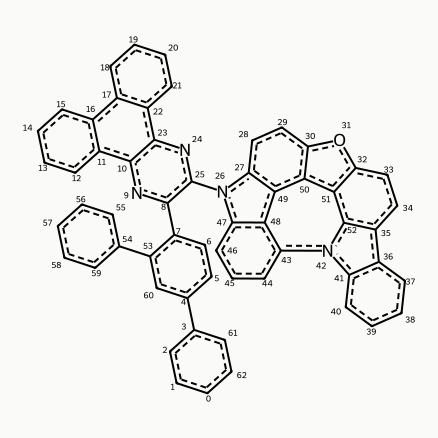 c1ccc(-c2ccc(-c3nc4c5ccccc5c5ccccc5c4nc3-n3c4ccc5oc6ccc7c8ccccc8n8c9cccc3c9c4c5c6c78)c(-c3ccccc3)c2)cc1